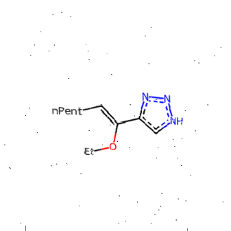 CCCCCC=C(OCC)c1c[nH]nn1